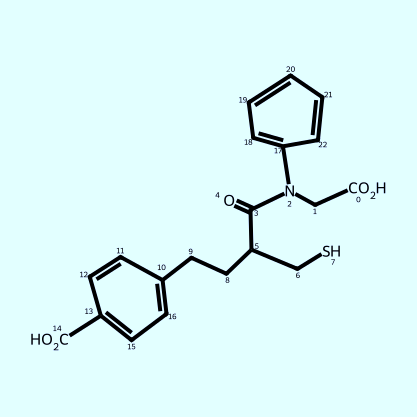 O=C(O)CN(C(=O)C(CS)CCc1ccc(C(=O)O)cc1)c1ccccc1